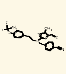 Cc1sc(N(CCc2ccc(OC(F)(F)P)cc2)Cc2ccc(C#N)cc2)nc1C=O